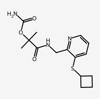 CC(C)(OC(N)=O)C(=O)NCc1ncccc1SC1CCC1